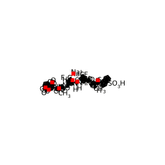 Cn1cc(NC(=O)c2cc(NC(=O)Nc3cc(C(=O)Nc4cc(C(=O)Nc5ccc6c(S(=O)(=O)O)cccc6c5S(=O)(=O)O)n(C)c4)cc(C(F)(F)F)c3)cc(C(F)(F)F)c2)cc1C(=O)Nc1ccc2c(S(=O)(=O)[O-])cccc2c1S(=O)(=O)[O-].[Na+].[Na+]